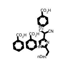 CCCCCCCCCCCc1nc(C(C)C#N)c[nH]1.O=C(O)c1ccccc1.O=C(O)c1ccccc1.O=C(O)c1ccccc1